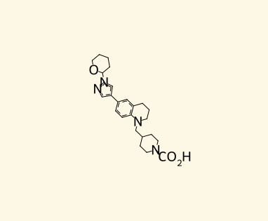 O=C(O)N1CCC(CN2CCCc3cc(-c4cnn(C5CCCCO5)c4)ccc32)CC1